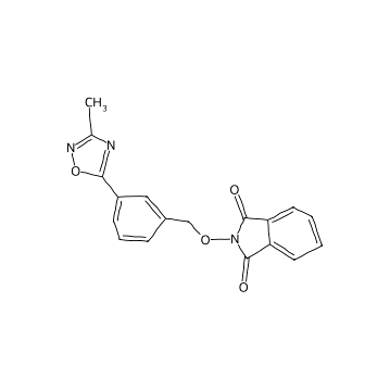 Cc1noc(-c2cccc(CON3C(=O)c4ccccc4C3=O)c2)n1